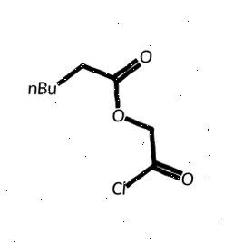 CCCCCC(=O)OCC(=O)Cl